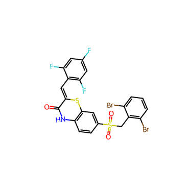 O=C1Nc2ccc(S(=O)(=O)Cc3c(Br)cccc3Br)cc2SC1=Cc1c(F)cc(F)cc1F